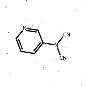 N#CN(C#N)c1cccnc1